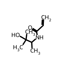 C=CC(=O)NC(C)C(C)(C)O